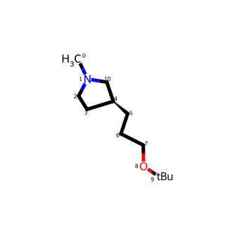 CN1CC[C@H](CCCOC(C)(C)C)C1